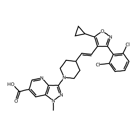 Cn1nc(N2CCC(C=Cc3c(-c4c(Cl)cccc4Cl)noc3C3CC3)CC2)c2ncc(C(=O)O)cc21